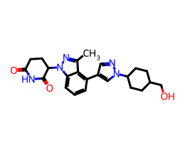 Cc1nn(C2CCC(=O)NC2=O)c2cccc(-c3cnn(C4CCC(CO)CC4)c3)c12